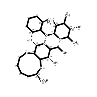 CC1O[C@@H](OC2[C@H](C)CCC[C@H]2O[C@@H]2OC(CO)[C@H](O)C3O[C@@H](C(=O)O)CCCCOC32)[C@@H](O)C(O)[C@@H]1O